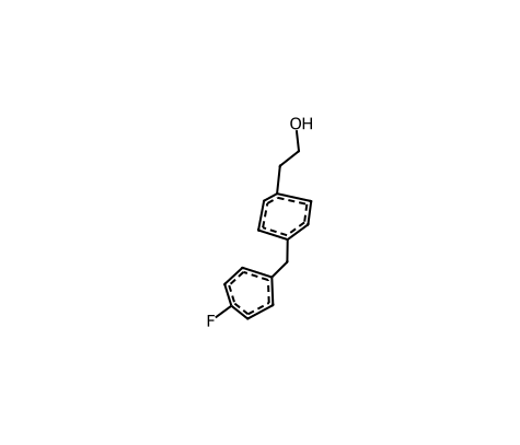 OCCc1ccc(Cc2ccc(F)cc2)cc1